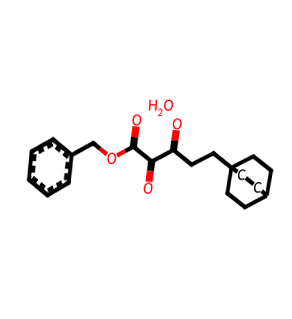 O.O=C(CCC12CCC(CC1)CC2)C(=O)C(=O)OCc1ccccc1